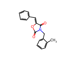 Cc1ccccc1CN1C(=O)O/C(=C\c2ccccc2)C1=O